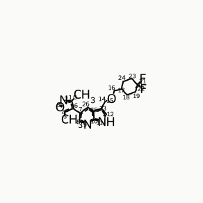 Cc1noc(C)c1-c1cnc2[nH]cc(COCC3CCC(F)(F)CC3)c2c1